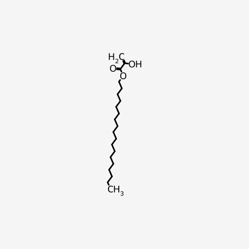 C=C(O)C(=O)OCCCCCCCCCCCCCCCCCC